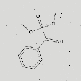 COP(=O)(OC)C(=N)c1ccccc1